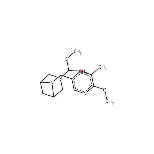 COc1ncc(CN2C3CC2CN(C(C)SC)C3)cc1C